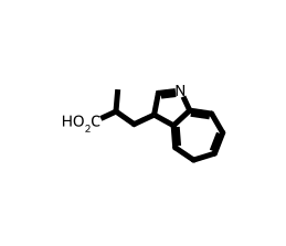 CC(CC1C=NC2=CC=CCC=C21)C(=O)O